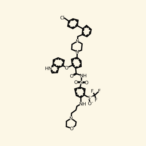 O=C(NS(=O)(=O)c1ccc(NCCCN2CCOCC2)c([S+]([O-])C(F)(F)F)c1)c1ccc(N2CCN(Cc3ccccc3-c3ccc(Cl)cc3)CC2)cc1Oc1cccc2[nH]ccc12